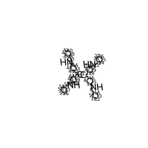 C(=C=C(c1ccc(NCc2ccccc2)cc1)c1ccc(NCc2ccccc2)cc1)=C(c1ccc(NCc2ccccc2)cc1)c1ccc(NCc2ccccc2)cc1